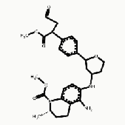 COC(=O)C(CC=O)c1ccc(C2CC(Nc3ccc4c(c3N)CC[C@H](C)N4C(=O)OC)CCO2)cc1